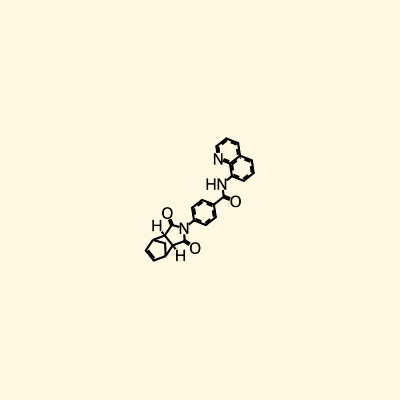 O=C(Nc1cccc2cccnc12)c1ccc(N2C(=O)[C@@H]3C4C=CC(C4)[C@@H]3C2=O)cc1